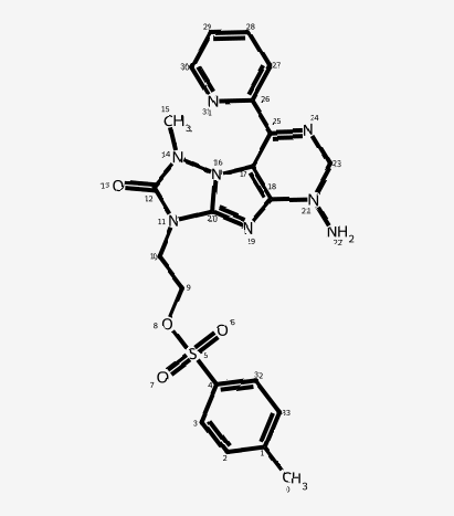 Cc1ccc(S(=O)(=O)OCCn2c(=O)n(C)n3c4c(nc23)N(N)CN=C4c2ccccn2)cc1